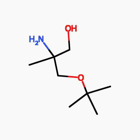 CC(N)(CO)COC(C)(C)C